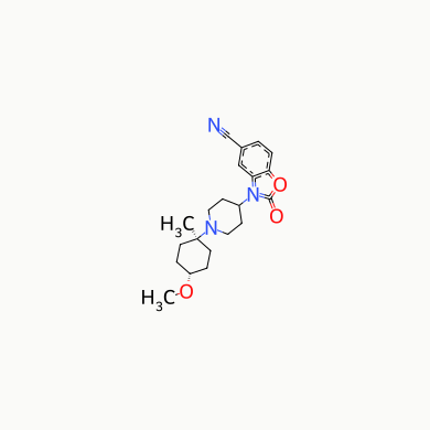 CO[C@H]1CC[C@](C)(N2CCC(n3c(=O)oc4ccc(C#N)cc43)CC2)CC1